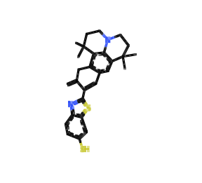 C=C1Cc2c(cc3c4c2C(C)(C)CCN4CCC3(C)C)C=C1c1nc2ccc(S)cc2s1